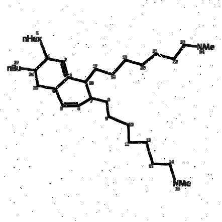 CCCCCCC1C=C2C(C=CC(CCCCCCCNC)C2CCCCCCCNC)CC1CCCC